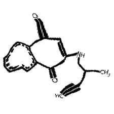 C#CC(C)NC1=CC(=O)c2ccccc2C1=O